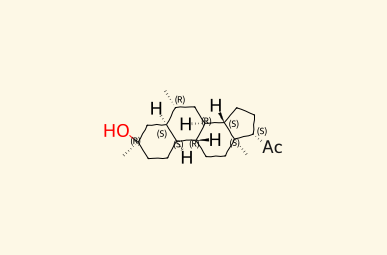 CC(=O)[C@H]1CC[C@H]2[C@@H]3C[C@@H](C)[C@@H]4C[C@](C)(O)CC[C@@H]4[C@H]3CC[C@]12C